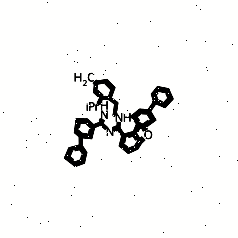 C=C1C=CC(CCN/C(=N\C(=N)c2cccc(-c3ccccc3)c2)c2cccc3oc4cc(-c5ccccc5)ccc4c23)C(C(C)C)=C1